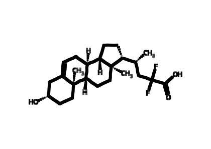 C[C@H](CC(F)(F)C(=O)O)[C@H]1CC[C@H]2[C@@H]3CC=C4C[C@@H](O)CC[C@]4(C)[C@H]3CC[C@]12C